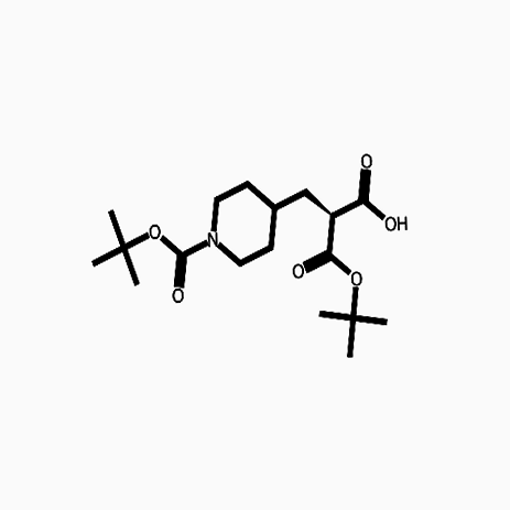 CC(C)(C)OC(=O)[C@@H](CC1CCN(C(=O)OC(C)(C)C)CC1)C(=O)O